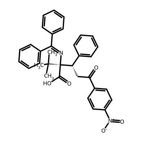 CC(C)(C)[C@@](N=C(c1ccccc1)c1ccccc1)(C(=O)O)[C@@H](CC(=O)c1ccc([N+](=O)[O-])cc1)c1ccccc1